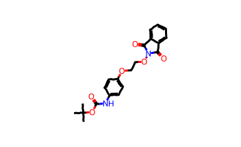 CC(C)(C)OC(=O)Nc1ccc(OCCON2C(=O)c3ccccc3C2=O)cc1